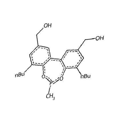 CCCCc1cc(CO)cc2c1op(C)oc1c(CCCC)cc(CO)cc12